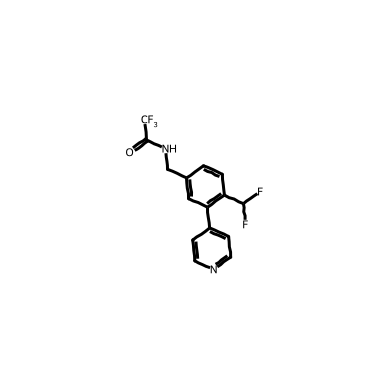 O=C(NCc1ccc(C(F)F)c(-c2ccncc2)c1)C(F)(F)F